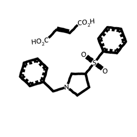 O=C(O)C=CC(=O)O.O=S(=O)(c1ccccc1)C1CCN(Cc2ccccc2)C1